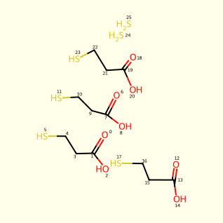 O=C(O)CCS.O=C(O)CCS.O=C(O)CCS.O=C(O)CCS.S.S